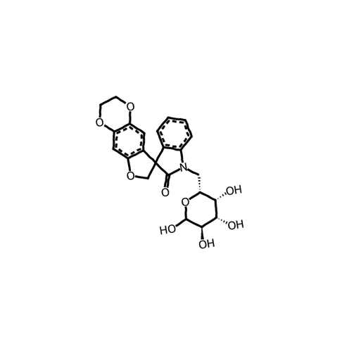 O=C1N(C[C@H]2OC(O)[C@H](O)[C@@H](O)[C@H]2O)c2ccccc2C12COc1cc3c(cc12)OCCO3